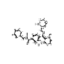 CN1C=CN=C(N)/C1=C(/N=C/[C@@H]1COCCN1)c1ccc(C(=O)NCc2ccccn2)cc1